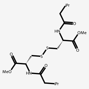 COC(=O)[C@H](CSSC[C@H](NC(=O)CC(C)C)C(=O)OC)NC(=O)CC(C)C